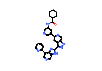 O=C(Nc1cncc(-c2cc3c(-c4nc5c(-c6ccccn6)cncc5[nH]4)n[nH]c3cn2)c1)C1CCCCC1